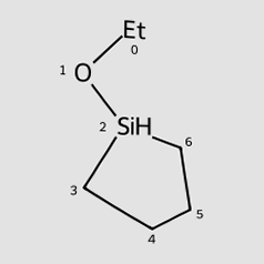 CCO[SiH]1CCCC1